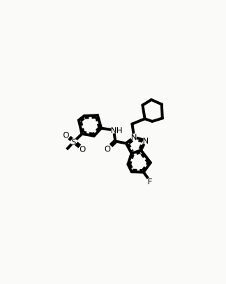 CS(=O)(=O)c1cccc(NC(=O)c2c3ccc(F)cc3nn2CC2CCCCC2)c1